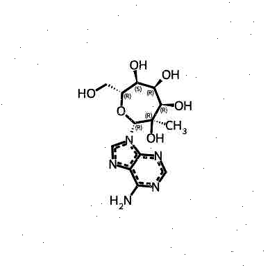 C[C@@]1(O)[C@H](O)[C@H](O)[C@H](O)[C@@H](CO)O[C@H]1n1cnc2c(N)ncnc21